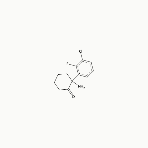 NC1(c2cccc(Cl)c2F)CCCCC1=O